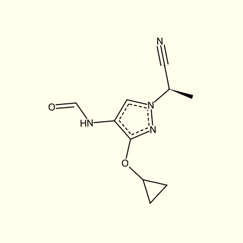 C[C@H](C#N)n1cc(NC=O)c(OC2CC2)n1